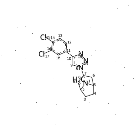 CN1C2CCC1CC(n1cc(-c3ccc(Cl)c(Cl)c3)nn1)C2